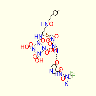 Cc1ccc(CCCC(=O)NCCCC[C@@H](CSC2CC(=O)N(CC(=O)N3CCN(CCCCOc4ccc5nccc(C(=O)NCC(=O)N6CC(F)(F)C[C@@H]6C#N)c5c4)CC3)C2=O)NC(=O)CN2CCN(CC(=O)O)CCN(CC(=O)O)CCN(CC(=O)O)CC2)cc1